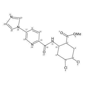 COC(=O)C1CC(Cl)C(Cl)CC1NC(=O)c1ccc(-n2ccnc2)cn1